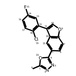 Cc1nnc(-c2ccc3occ(-c4cc(F)ccc4Cl)c3c2)o1